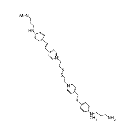 CNCCCNc1ccc(/C=C/c2cc[n+](CCSSCCN3C=CC(/C=C/c4ccc(N(C)CCCN)cc4)=CC3)cc2)cc1